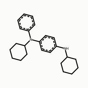 c1ccc(N(c2ccc(NC3CCCCC3)cc2)C2CCCCC2)cc1